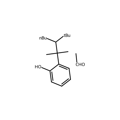 CC=O.CCCCC(C(C)(C)C)C(C)(C)c1ccccc1O